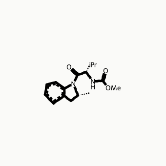 COC(=O)N[C@H](C(=O)N1c2ccccc2C[C@H]1C)C(C)C